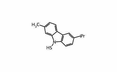 Cc1ccc2c3cc(C(C)C)ccc3n(S)c2c1